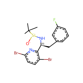 CC(C)(C)[S+]([O-])N[C@@H](Cc1cccc(F)c1)c1nc(Br)ccc1Br